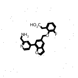 NCc1cc(-c2cc(COc3c(F)cccc3CC(=O)O)cc3ccoc23)ccn1